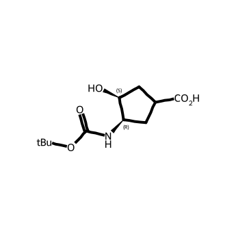 CC(C)(C)OC(=O)N[C@@H]1CC(C(=O)O)C[C@@H]1O